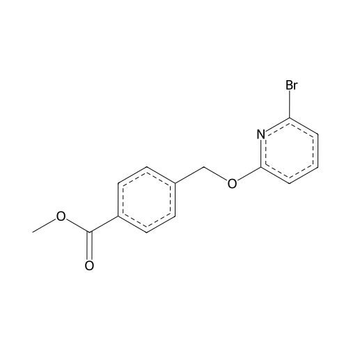 COC(=O)c1ccc(COc2cccc(Br)n2)cc1